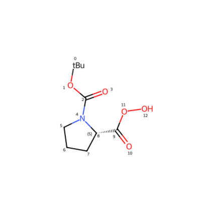 CC(C)(C)OC(=O)N1CCC[C@H]1C(=O)OO